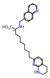 O=C(O)[C@H](CCCCCCCc1ccc2c(n1)NCCC2)NCc1ccc2ncccc2c1